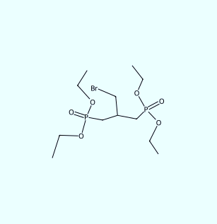 CCOP(=O)(CC(CBr)CP(=O)(OCC)OCC)OCC